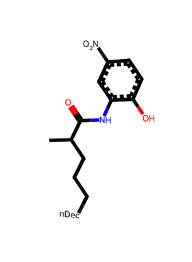 CCCCCCCCCCCCCC(C)C(=O)Nc1cc([N+](=O)[O-])ccc1O